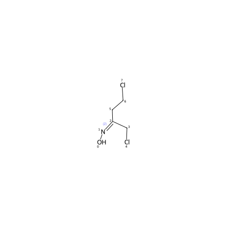 O/N=C(\CCl)CCCl